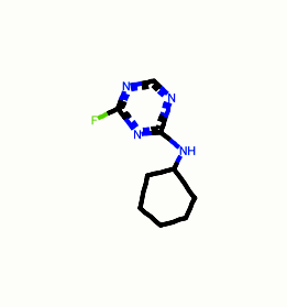 Fc1ncnc(NC2CCCCC2)n1